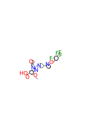 CCOc1cc(C(=O)O)cc2c1nc(CN1CCC(c3cccc(OCc4ccc(C(F)(F)F)cc4F)n3)CC1)n2C[C@@H]1CCO1